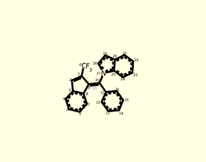 FC(F)(F)C1=Cc2ccccc2/C1=C(\c1ccccc1)n1ccc2ccccc21